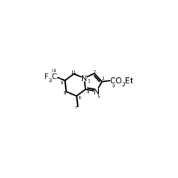 CCOC(=O)c1cn2c(n1)C(C)CC(C(F)(F)F)C2